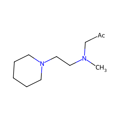 CC(=O)CN(C)CCN1CCCCC1